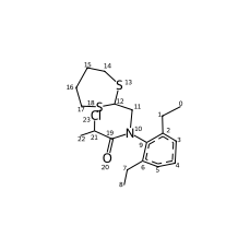 CCc1cccc(CC)c1N(CC1SCCCCS1)C(=O)C(C)Cl